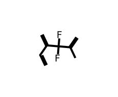 C=CC(=C)C(F)(F)C(=C)C